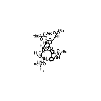 CCCCCCCCCCN(CCC(=O)N[C@@H](CCCCNC(=O)OC(C)(C)C)C(=O)N(C)[C@@H]1C(=O)N[C@@H](C)C(=O)N[C@H](C(=O)N[C@@H](C)C(C)=O)Cc2ccc(O)c(c2)-c2cc1ccc2OC(=O)OC(C)(C)C)C(=O)OC(C)(C)C